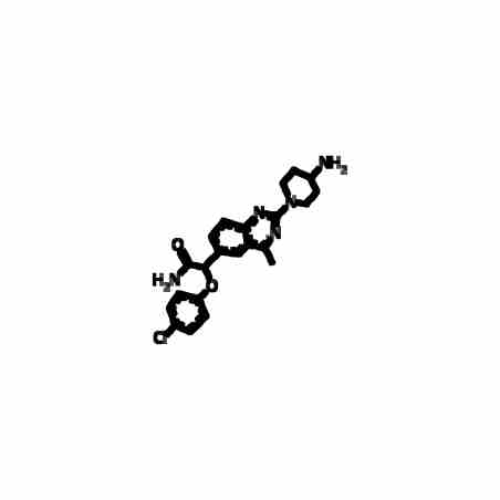 Cc1nc(N2CCC(N)CC2)nc2ccc(C(Oc3ccc(Cl)cc3)C(N)=O)cc12